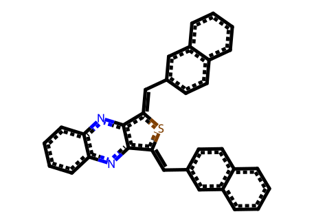 C(/c1ccc2ccccc2c1)=c1/s/c(=C\c2ccc3ccccc3c2)c2nc3ccccc3nc12